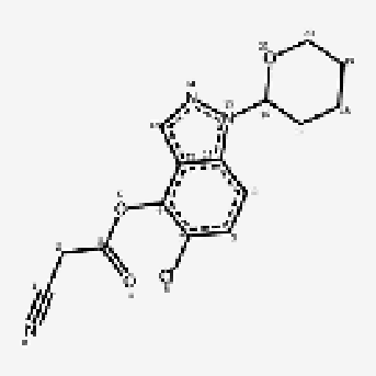 N#CCC(=O)Oc1c(Cl)ccc2c1cnn2C1CCCCO1